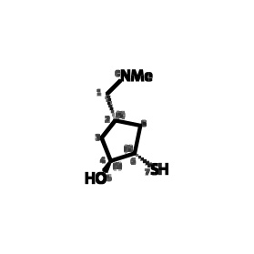 CNC[C@H]1C[C@H](O)[C@@H](S)C1